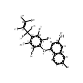 Cc1ccc2c(Oc3c(F)c(F)c(C(F)(F)C(I)=C(I)I)c(F)c3F)cc(S)cc2c1